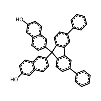 Oc1ccc2cc(C3(c4ccc5cc(O)ccc5c4)c4ccc(-c5ccccc5)cc4-c4cc(-c5ccccc5)ccc43)ccc2c1